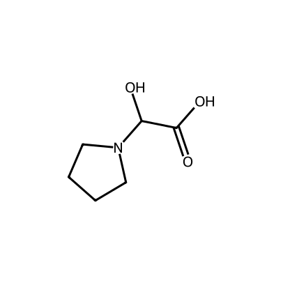 O=C(O)C(O)N1CCCC1